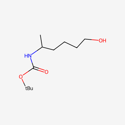 CC(CCCCO)NC(=O)OC(C)(C)C